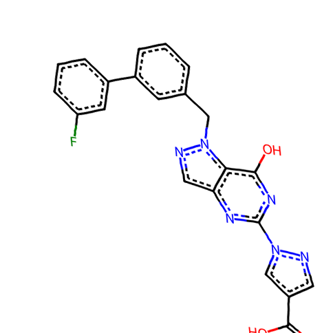 O=C(O)c1cnn(-c2nc(O)c3c(cnn3Cc3cccc(-c4cccc(F)c4)c3)n2)c1